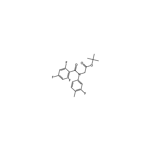 Cc1ccc(N(CC(=O)OC(C)(C)C)C(=O)c2c(F)cc(F)cc2F)cc1F